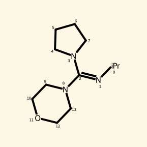 CC(C)N=C(N1CCCC1)N1CCOCC1